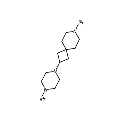 CC(C)N1CCN(C2CC3(CCN(C(C)C)CC3)C2)CC1